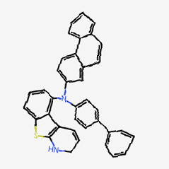 C1=Cc2c(sc3cccc(N(c4ccc(-c5ccccc5)cc4)c4ccc5c(ccc6ccccc65)c4)c23)NC1